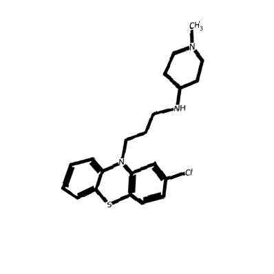 CN1CCC(NCCCN2c3ccccc3Sc3ccc(Cl)cc32)CC1